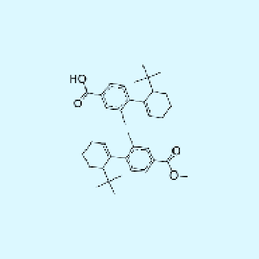 COC(=O)c1ccc(C2=CCCCC2C(C)(C)C)c(C)c1.Cc1cc(C(=O)O)ccc1C1=CCCCC1C(C)(C)C